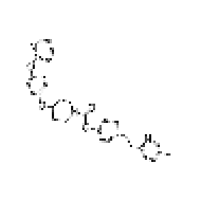 Cc1ccc(CCc2ccc(OC(=O)N3CCC(Oc4ccc(Oc5ccccn5)cc4)CC3)cc2)nc1